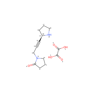 O=C(O)C(=O)O.O=C1CCCN1CC#C[C@H]1CCCN1